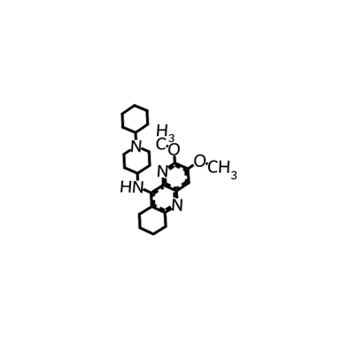 COc1cc2nc3c(c(NC4CCN(C5CCCCC5)CC4)c2nc1OC)CCCC3